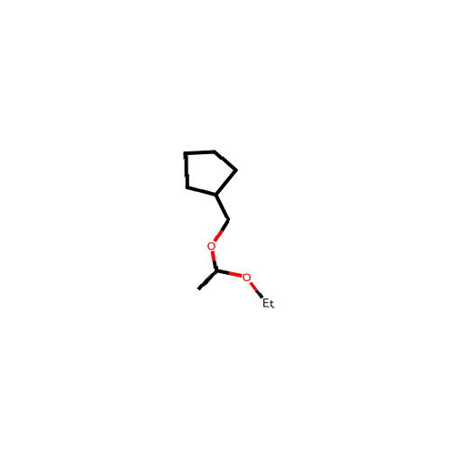 CCOC(C)OCC1CCCC1